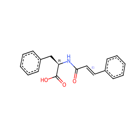 O=C(/C=C/c1ccccc1)N[C@H](Cc1ccccc1)C(=O)O